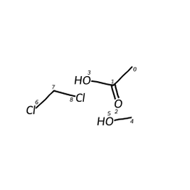 CC(=O)O.CO.ClCCl